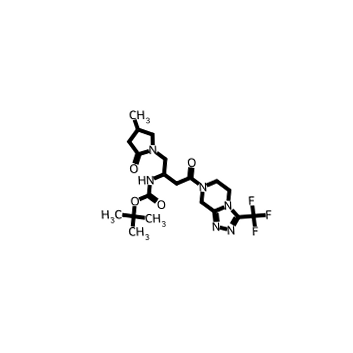 CC1CC(=O)N(CC(CC(=O)N2CCn3c(nnc3C(F)(F)F)C2)NC(=O)OC(C)(C)C)C1